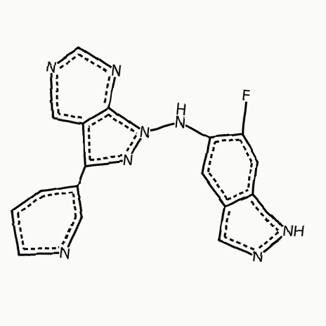 Fc1cc2[nH]ncc2cc1Nn1nc(-c2cccnc2)c2cncnc21